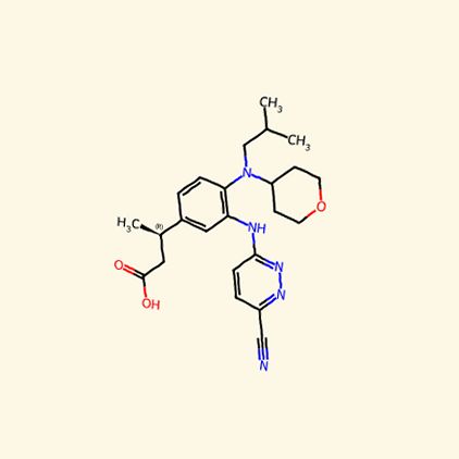 CC(C)CN(c1ccc([C@H](C)CC(=O)O)cc1Nc1ccc(C#N)nn1)C1CCOCC1